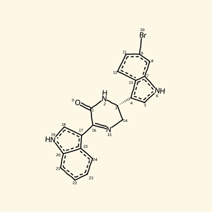 O=C1N[C@H](c2c[nH]c3cc(Br)ccc23)CN=C1c1c[nH]c2ccccc12